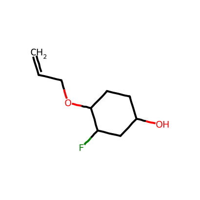 C=CCOC1CCC(O)CC1F